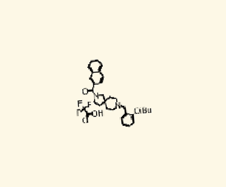 CC(C)COc1ccccc1CN1CCC2(CC1)CCN(C(=O)c1ccc3ccccc3c1)C2.O=C(O)C(F)(F)F